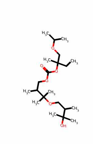 CCC(C)(COC(C)C)OC(=O)OCC(C)C(C)(C)OCC(C)C(C)(C)O